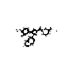 N#Cc1ccc(-c2cc(C(=O)N3CCCC(N)C3)sc2-c2ccn3ccnc3c2)cc1F